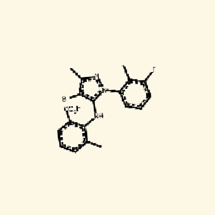 Cc1cccc(C(=O)O)c1Nc1c(Br)c(C)nn1-c1cccc(F)c1C